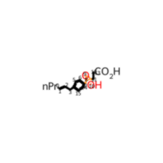 CCCC=CCc1ccc(P(=O)(O)CCC(=O)O)cc1